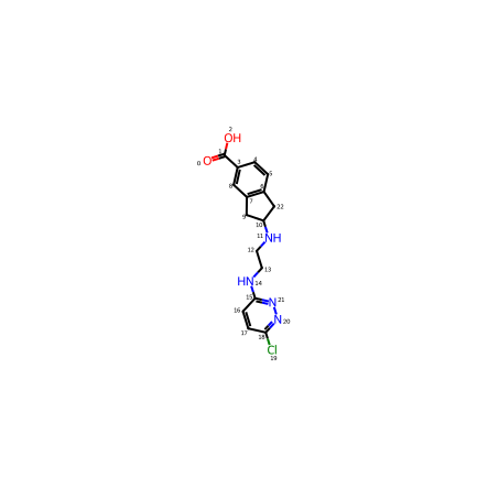 O=C(O)c1ccc2c(c1)CC(NCCNc1ccc(Cl)nn1)C2